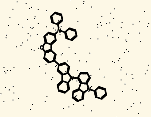 c1ccc(N(c2ccccc2)c2ccc3oc4ccc(-c5ccc6c(c5)c5ccccc5n6-c5cccc6c5c5ccccc5n6-c5ccccc5)cc4c3c2)cc1